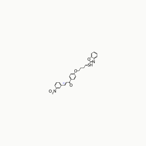 O=C(/C=C/c1cccc([N+](=O)[O-])c1)c1ccc(OCCCC=[SH]c2nc3ccccc3o2)cc1